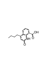 CCCCc1cc(=O)[nH]c2c(C(=O)O)cccc12